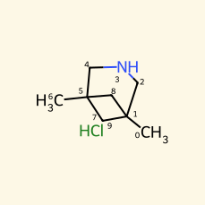 CC12CNCC(C)(C1)C2.Cl